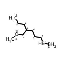 BBCCCC(CCC)COC